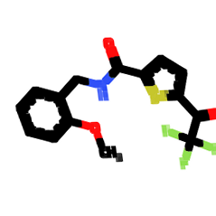 COc1ccccc1CNC(=O)c1ccc(C(=O)C(F)(F)F)s1